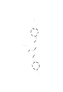 CCOC(C)Oc1ccc(C=CC=C(C=Cc2ccc(O)cc2)C(=O)OC(C)(C)C)cc1